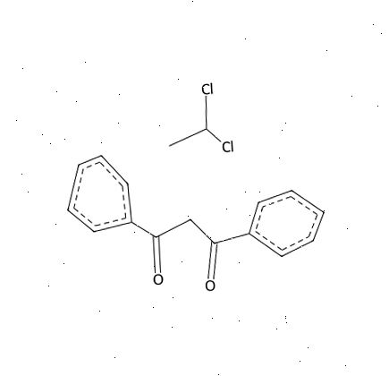 CC(Cl)Cl.O=C(CC(=O)c1ccccc1)c1ccccc1